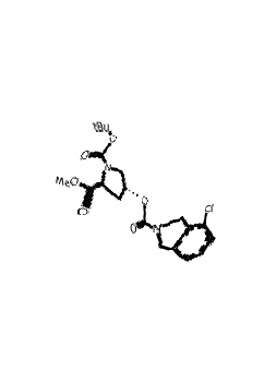 COC(=O)C1C[C@@H](OC(=O)N2Cc3cccc(Cl)c3C2)CN1C(=O)OC(C)(C)C